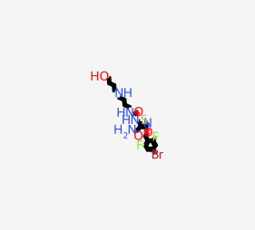 NC(=O)c1c(OCc2c(F)cc(Br)cc2F)nsc1NC(=O)NCCCCNCCCCO